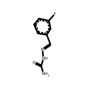 NC(=O)NN=Cc1cccc(F)c1